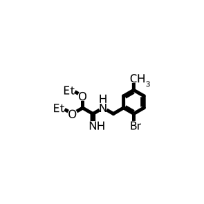 CCOC(OCC)C(=N)NCc1cc(C)ccc1Br